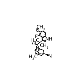 COc1ccc2[nH]cc(C(C)(C)C(=O)N3C4CC5(C)CC3CC(C#N)(C4)C5)c2c1F